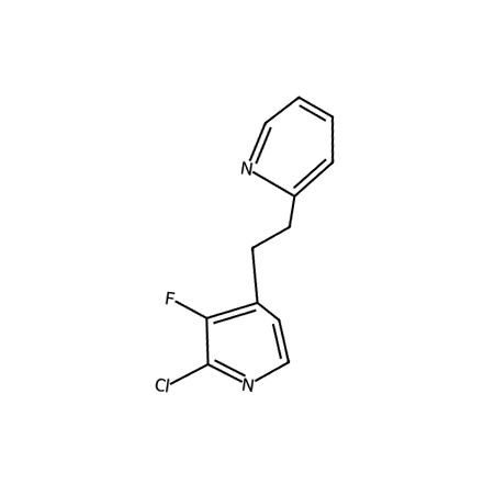 Fc1c(CCc2ccccn2)ccnc1Cl